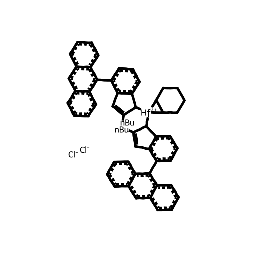 CCCCC1=Cc2c(-c3c4ccccc4cc4ccccc34)cccc2[CH]1[Hf+2]1([CH]2C(CCCC)=Cc3c(-c4c5ccccc5cc5ccccc45)cccc32)[CH]2CCCC[CH]21.[Cl-].[Cl-]